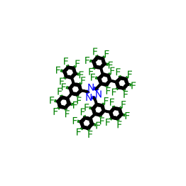 Fc1c(F)c(F)c(-c2c(F)c(-c3nc(-c4c(F)c(-c5c(F)c(F)c(F)c(F)c5F)c(F)c(-c5c(F)c(F)c(F)c(F)c5F)c4F)nc(-c4c(F)c(-c5c(F)c(F)c(F)c(F)c5F)c(F)c(-c5c(F)c(F)c(F)c(F)c5F)c4F)n3)c(F)c(-c3c(F)c(F)c(F)c(F)c3F)c2F)c(F)c1F